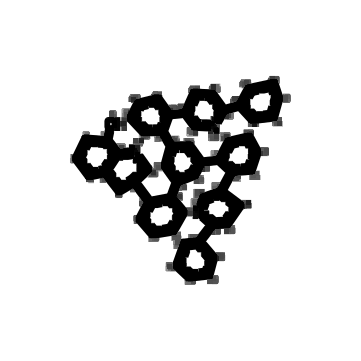 Oc1cccc2cc(-c3ccccc3-c3cc(-c4ccccc4-c4ccc(-c5ccccc5)nc4)cc(-c4ccccc4-c4ccc(-c5ccccc5)nc4)c3)cnc12